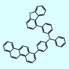 c1ccc(N(c2ccc(-c3cccc4c3ccc3c5ccccc5ccc43)cc2)c2cccc(-c3cccc4sc5ccccc5c34)c2)cc1